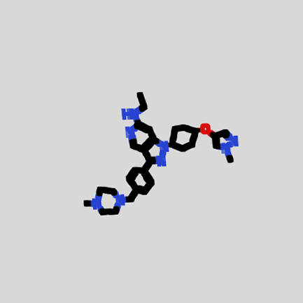 CCNc1cc2c(cn1)c(-c1ccc(CN3CCN(C)CC3)cc1)nn2[C@H]1CC[C@@H](Oc2cnn(C)c2)CC1